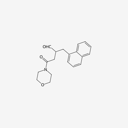 O=CC(CC(=O)N1CCOCC1)Cc1cccc2ccccc12